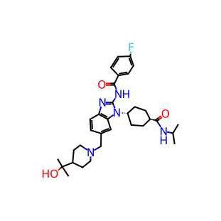 CC(C)NC(=O)[C@H]1CC[C@H](n2c(NC(=O)c3ccc(F)cc3)nc3ccc(CN4CCC(C(C)(C)O)CC4)cc32)CC1